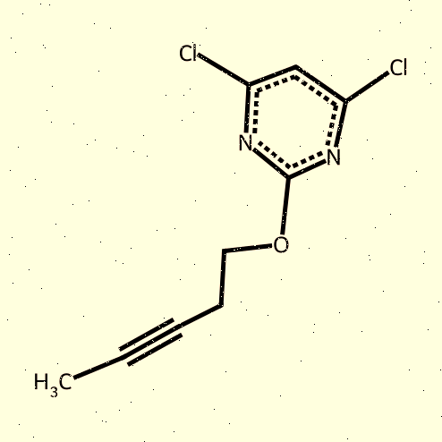 CC#CCCOc1nc(Cl)cc(Cl)n1